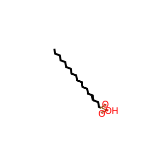 CCCCCCCCCCCCCC/C=C/CCS(=O)(=O)O